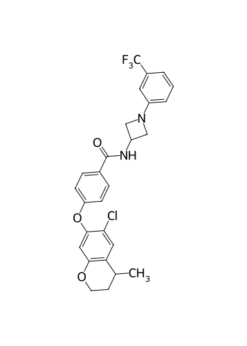 CC1CCOc2cc(Oc3ccc(C(=O)NC4CN(c5cccc(C(F)(F)F)c5)C4)cc3)c(Cl)cc21